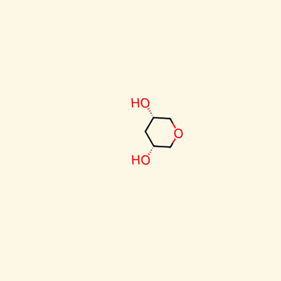 O[C@@H]1COC[C@H](O)C1